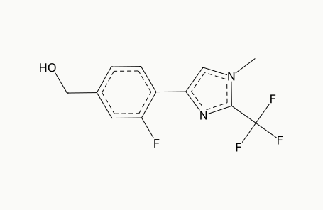 Cn1cc(-c2ccc(CO)cc2F)nc1C(F)(F)F